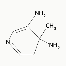 CC1(N)CC=NC=C1N